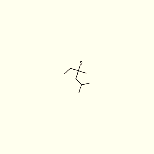 CCC(C)([S])CC(C)C